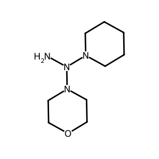 NN(N1CCCCC1)N1CCOCC1